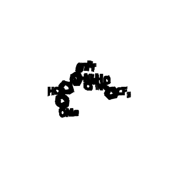 CCCO[C@H]1CN(C2CCC(O)(c3ccc(OC)cc3)CC2)C[C@@H]1NC(=O)CNC(=O)c1cccc(C(F)(F)F)c1